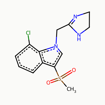 CS(=O)(=O)c1cn(CC2=NCCN2)c2c(Cl)cccc12